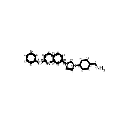 NCC1CCC(N2C=CN(c3ccc4ccc(Oc5ccccc5)nc4c3)C2)CC1